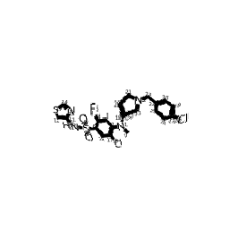 CN(c1cc(F)c(S(=O)(=O)Nc2cscn2)cc1Cl)[C@H]1CCN(Cc2ccc(Cl)cc2)C1